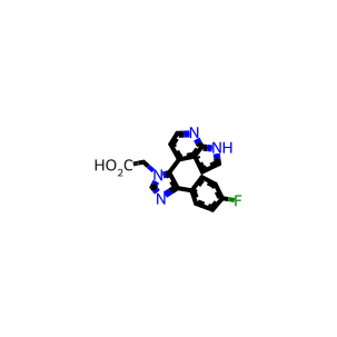 O=C(O)Cn1cnc(-c2ccc(F)cc2)c1-c1ccnc2[nH]ccc12